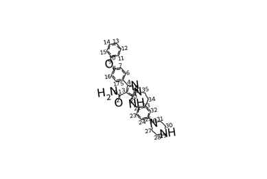 NC(=O)c1c(-c2ccc(Oc3ccccc3)cc2)nn2c1Nc1ccc(N3CCNCC3)cc1CC2